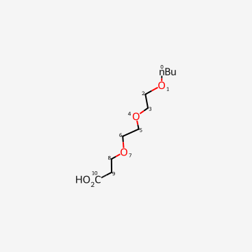 CCCCOCCOCCOCCC(=O)O